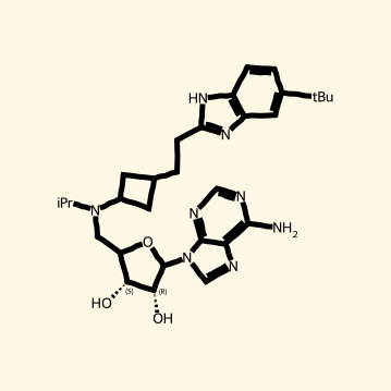 CC(C)N(CC1OC(n2cnc3c(N)ncnc32)[C@H](O)[C@@H]1O)C1CC(CCc2nc3cc(C(C)(C)C)ccc3[nH]2)C1